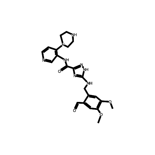 COc1cc(C=O)c(CNc2nc(C(=O)Nc3cnccc3N3CCNCC3)n[nH]2)cc1OC